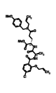 C=CCOc1cc(Cl)ccc1C(=O)N[C@H](C)C(=O)N[C@@H](CCC(=O)N(CC=C)Cc1ccc(OC)cc1)C(=O)OC